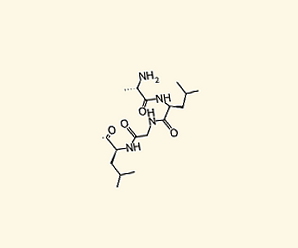 CC(C)C[C@@H]([C]=O)NC(=O)CNC(=O)[C@H](CC(C)C)NC(=O)[C@H](C)N